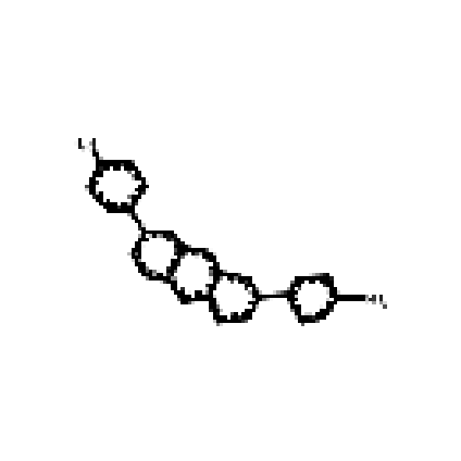 Nc1ccc(-c2ccc3cc4ccc(-c5ccc(N)cc5)cc4cc3c2)cc1